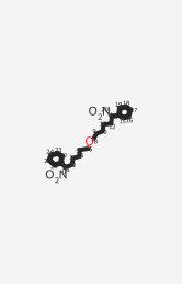 O=[N+]([O-])C(CCCCCOCCCCCC(c1ccccc1)[N+](=O)[O-])c1ccccc1